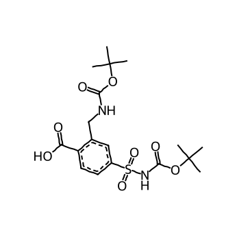 CC(C)(C)OC(=O)NCc1cc(S(=O)(=O)NC(=O)OC(C)(C)C)ccc1C(=O)O